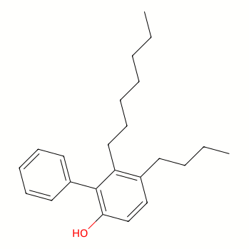 CCCCCCCc1c(CCCC)ccc(O)c1-c1ccccc1